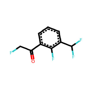 O=C(CF)c1cccc(C(F)F)c1F